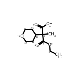 CCOC(=S)C(C)(C(=O)O)C1CCOCC1